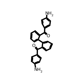 Nc1ccc(C(=O)c2ccccc2-c2ccccc2C(=O)c2ccc(N)cc2)cc1